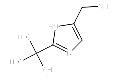 CC(C)(C)c1ncc(CN)[nH]1